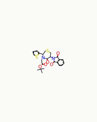 CC(C)(C)OC(=O)CN1C(=O)C(N2C(=O)c3ccccc3C2=O)CSCC1c1cccs1